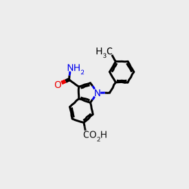 Cc1cccc(Cn2cc(C(N)=O)c3ccc(C(=O)O)cc32)c1